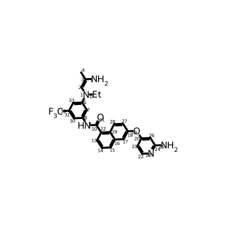 CCN(/C=C(/C)N)c1cc(NC(=O)c2cccc3cc(Oc4ccnc(N)c4)ccc23)cc(C(F)(F)F)c1